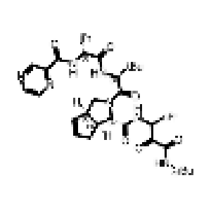 CCCC(NC(=O)[C@@H]1[C@H]2CC=C[C@H]2CN1C(=O)[C@@H](NC(=O)[C@H](NC(=O)c1cnccn1)C(C)C)C(C)(C)C)C(=O)C(=O)N[C@@H](C)CC